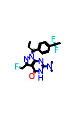 CC[C@@H](c1ccc(C(C)(F)F)cc1)n1nc(CF)c2c(=O)[nH]c(N(C)C)nc21